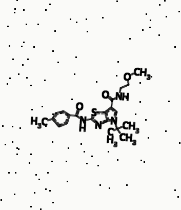 COCCNC(=O)c1cn(C(C)(C)C)c2nc(NC(=O)c3ccc(C)cc3)sc12